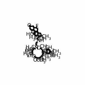 CC[C@H]1OC(=O)[C@H](C)[C@@H](O)[C@H](C)C(O[C@@H]2O[C@H](C)C[C@@H](N(C)C)C2O)[C@](C)(O)C[C@@H](C)CN(CCCNC(=O)[C@@]2(O)[C@H](C)CC3C4C[C@H](F)C5=CC(=O)C=C[C@]5(C)[C@@]4(Cl)[C@@H](O)C[C@@]32C)[C@H](C)[C@@H](O)[C@]1(C)O